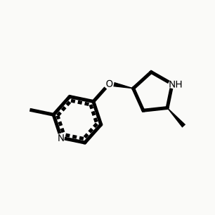 Cc1cc(O[C@H]2CN[C@@H](C)C2)ccn1